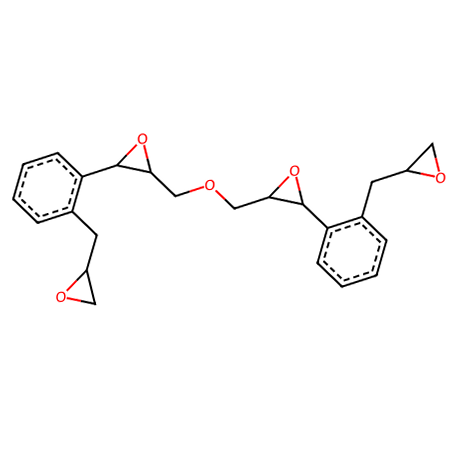 c1ccc(C2OC2COCC2OC2c2ccccc2CC2CO2)c(CC2CO2)c1